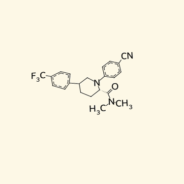 CN(C)C(=O)[C@@H]1CCC(c2ccc(C(F)(F)F)cc2)CN1c1ccc(C#N)cc1